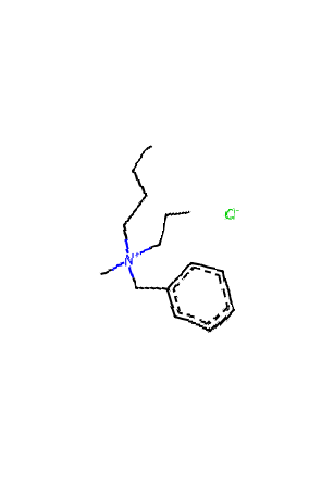 CCCC[N+](C)(CCC)Cc1ccccc1.[Cl-]